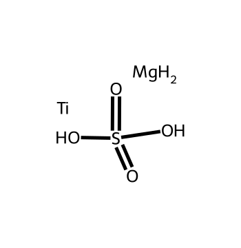 O=S(=O)(O)O.[MgH2].[Ti]